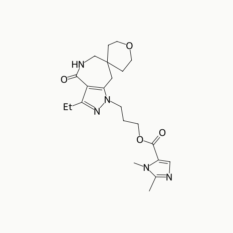 CCc1nn(CCCOC(=O)c2cnc(C)n2C)c2c1C(=O)NCC1(CCOCC1)C2